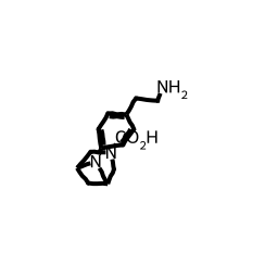 NCCc1ccc(N2C3CC2CN(C(=O)O)C3)cc1